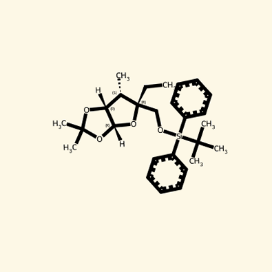 CC[C@@]1(CO[Si](c2ccccc2)(c2ccccc2)C(C)(C)C)O[C@@H]2OC(C)(C)O[C@@H]2[C@@H]1C